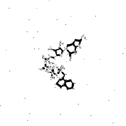 CC1=CC2=CN([C@@H]3O[C@H](COP(=O)(O)OP(=O)(O)OP(=O)(O)OP(=O)(O)Cc4cccc5ccccc45)C(O)[C@@H]3O)C(=O)NC2O1